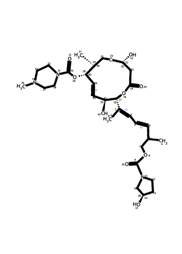 C/C(=C\C=C\C(C)COC(=O)N1CC[C@@H](O)C1)[C@H]1OC(=O)C[C@@H](O)CC[C@@H](C)[C@@H](OC(=O)N2CCN(C)CC2)/C=C/[C@@H]1C